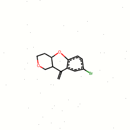 C=C1c2cc(Br)ccc2OC2CCOCC12